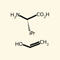 C=CO.CC(C)[C@H](N)C(=O)O